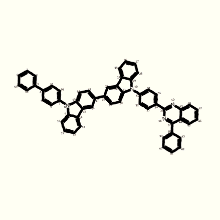 c1ccc(-c2ccc(-n3c4ccccc4c4cc(-c5ccc6c(c5)c5ccccc5n6-c5ccc(-c6nc(-c7ccccc7)c7ccccc7n6)cc5)ccc43)cc2)cc1